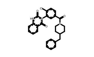 O=C(c1ccc(Cl)c(-n2c(=O)[nH]c3ccccc3c2=O)c1)N1CCC(Cc2ccccc2)CC1